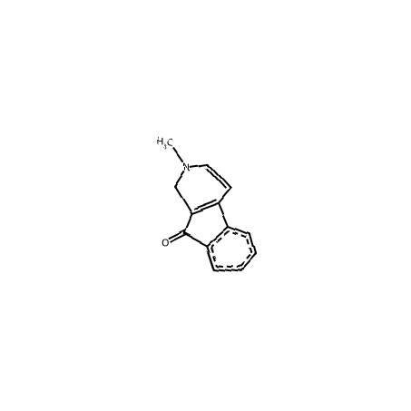 CN1C=CC2=C(C1)C(=O)c1ccccc12